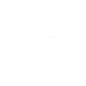 C=Cc1cccc[n+]1C.O=S(=O)([O-])O